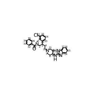 CN(CC(CCN1CCC(Nc2nc3ccccc3[nH]2)CC1)c1cccc(Cl)c1)C(=O)c1ccccc1